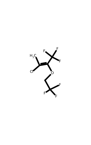 C/C(Cl)=C(/OCC(F)(F)F)C(F)(F)F